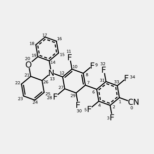 N#Cc1c(F)c(F)c(C2=C(F)C(F)=C(N3c4ccccc4OC4C=CC=CC43)C(F)C2F)c(F)c1F